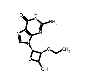 CCO[C@H]1C(O)O[C@H]1n1cnc2c(=O)[nH]c(N)nc21